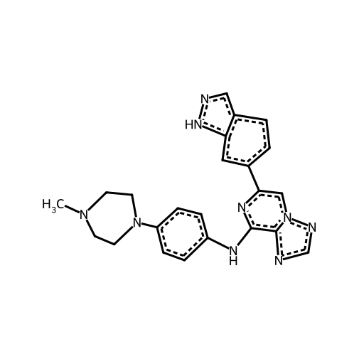 CN1CCN(c2ccc(Nc3nc(-c4ccc5cn[nH]c5c4)cn4ncnc34)cc2)CC1